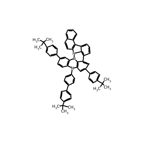 CC(C)(C)c1ccc(-c2ccc(N3c4ccc(-c5ccc(C(C)(C)C)cc5)cc4B4c5c(cc(-c6ccc(C(C)(C)C)cc6)cc53)-c3cccc5c6c7ccccc7ccc6n4c35)cc2)cc1